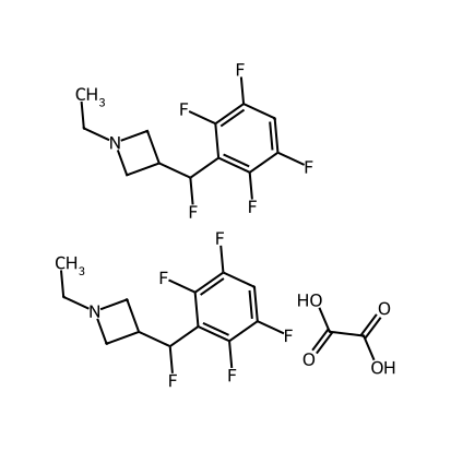 CCN1CC(C(F)c2c(F)c(F)cc(F)c2F)C1.CCN1CC(C(F)c2c(F)c(F)cc(F)c2F)C1.O=C(O)C(=O)O